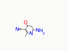 CC1=C(C#N)C(=O)CC(N)=N1